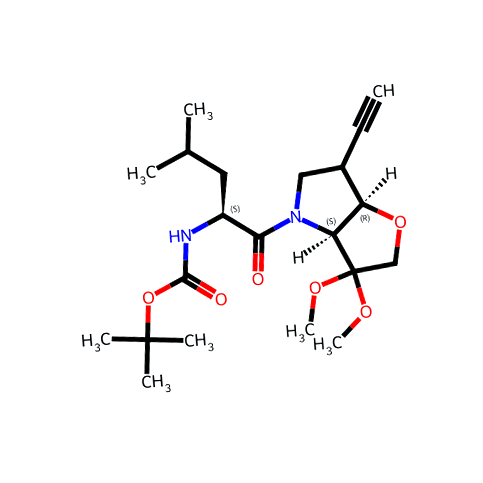 C#CC1CN(C(=O)[C@H](CC(C)C)NC(=O)OC(C)(C)C)[C@H]2[C@@H]1OCC2(OC)OC